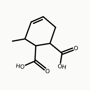 CC1C=CCC(C(=O)O)C1C(=O)O